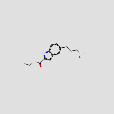 CCOC(=O)c1cc2cc(CCC[N+](=O)[O-])ccc2[nH]1